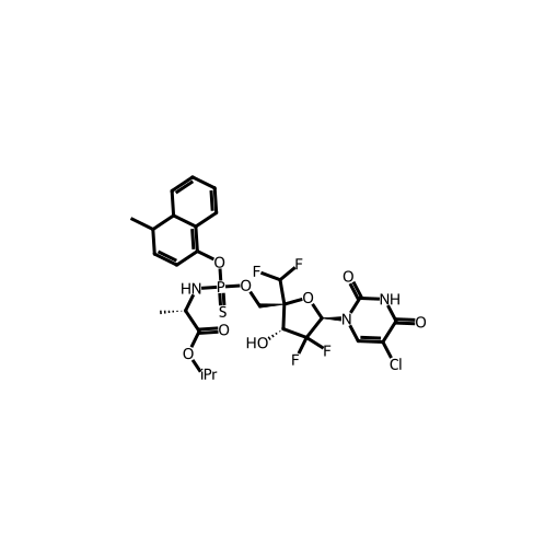 CC(C)OC(=O)[C@H](C)NP(=S)(OC[C@@]1(C(F)F)O[C@@H](n2cc(Cl)c(=O)[nH]c2=O)C(F)(F)[C@@H]1O)OC1=C2C=CC=CC2C(C)C=C1